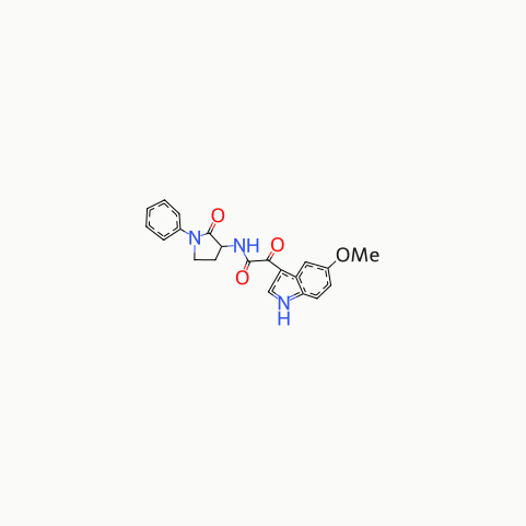 COc1ccc2[nH]cc(C(=O)C(=O)NC3CCN(c4ccccc4)C3=O)c2c1